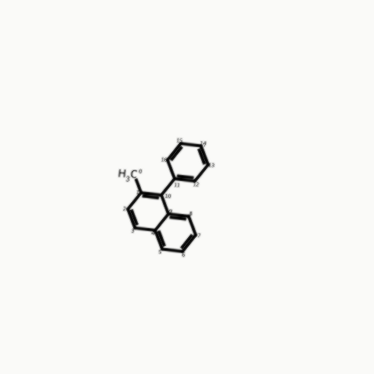 Cc1ccc2ccccc2c1-c1cc[c]cc1